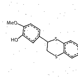 COc1ccc(C2CSc3ccccc3S2)cc1O